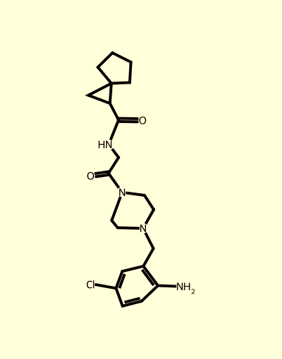 Nc1ccc(Cl)cc1CN1CCN(C(=O)CNC(=O)C2CC23CCCC3)CC1